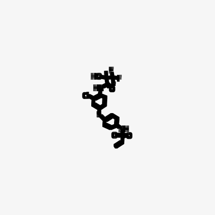 C=CS(=O)(=O)Nc1ccc(Sc2ccc(NC(=O)C(C)(O)C(F)(F)F)c(Cl)c2)cc1